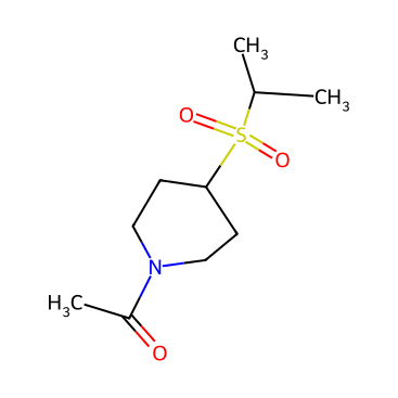 CC(=O)N1CCC(S(=O)(=O)C(C)C)CC1